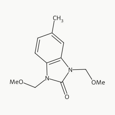 COCn1c(=O)n(COC)c2cc(C)ccc21